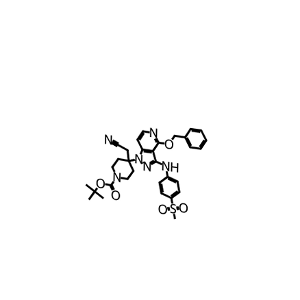 CC(C)(C)OC(=O)N1CCC(CC#N)(n2nc(Nc3ccc(S(C)(=O)=O)cc3)c3c(OCc4ccccc4)nccc32)CC1